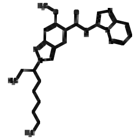 CCCCCCC(CC)n1cc2cc(C(=O)Nc3cnc4cccnn34)c(OC)cc2n1